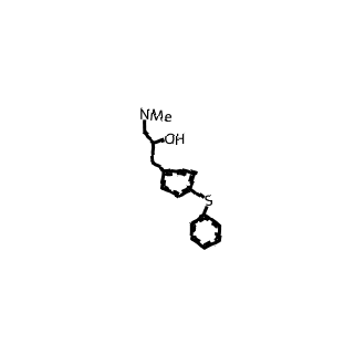 CNCC(O)Cc1ccc(Sc2ccccc2)cc1